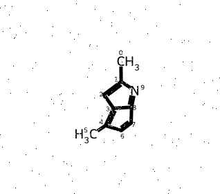 CC1=[C]C2=C(C)C=CC2=N1